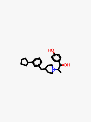 CC(C(O)c1ccc(O)cc1)N1CCC(Cc2cccc(C3CCCC3)c2)CC1